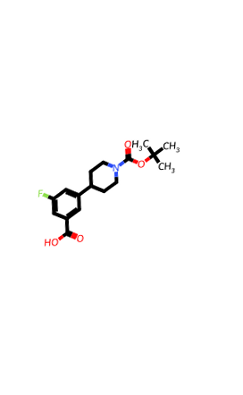 CC(C)(C)OC(=O)N1CCC(c2cc(F)cc(C(=O)O)c2)CC1